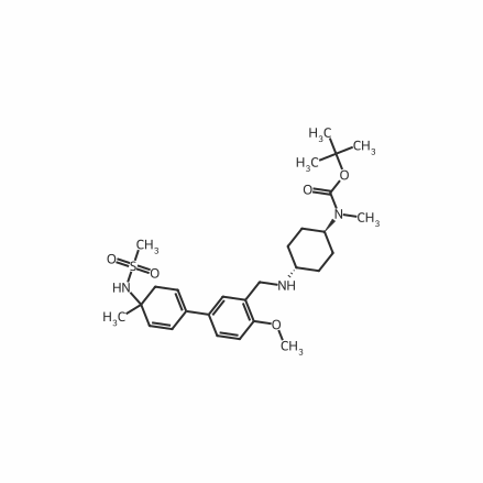 COc1ccc(C2=CCC(C)(NS(C)(=O)=O)C=C2)cc1CN[C@H]1CC[C@H](N(C)C(=O)OC(C)(C)C)CC1